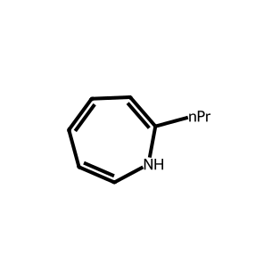 CCCC1=CC=CC=CN1